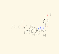 COC[C@@]1(O)CC[C@H]2[C@H](CC[C@@H]3[C@@H]2CC[C@]2(C)[C@@H]([C@@H](C)NC(=O)c4ccc(OC(F)(F)F)cc4)CC[C@@H]32)C1